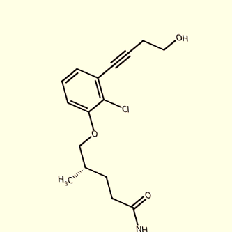 C[C@@H](CCC(N)=O)COc1cccc(C#CCCO)c1Cl